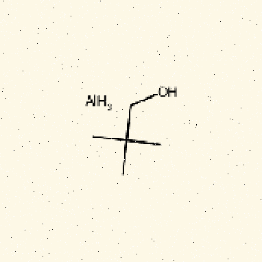 CC(C)(C)CO.[AlH3]